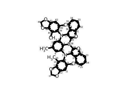 Cc1cc2c3c(c1)N(c1c(C)cc4c(c1C)OCO4)c1c(oc4ccccc14)B3c1oc3ccccc3c1N2c1c(C)cc2c(c1C)OCO2